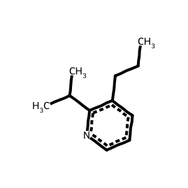 CCCc1cccnc1C(C)C